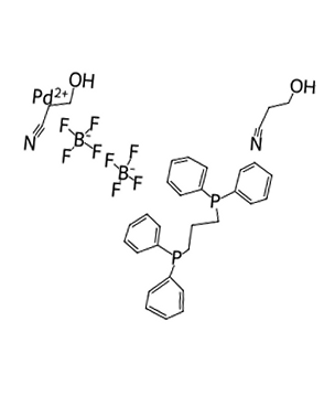 F[B-](F)(F)F.F[B-](F)(F)F.N#CCCO.N#CCCO.[Pd+2].c1ccc(P(CCCP(c2ccccc2)c2ccccc2)c2ccccc2)cc1